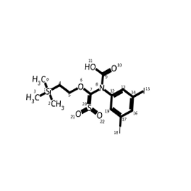 C[Si](C)(C)CCOC(N(C(=O)O)c1cc(I)cc(I)c1)=S(=O)=O